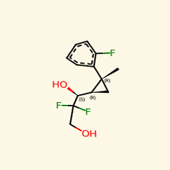 C[C@@]1(c2ccccc2F)C[C@H]1[C@H](O)C(F)(F)CO